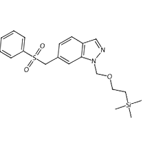 C[Si](C)(C)CCOCn1ncc2ccc(CS(=O)(=O)c3ccccc3)cc21